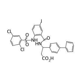 O=C(O)CC(NC(=O)c1cc(I)ccc1NS(=O)(=O)c1cc(Cl)ccc1Cl)c1ccc(-c2ccccc2)cc1